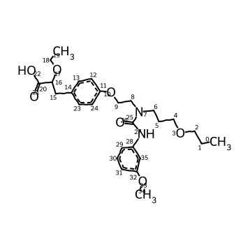 CCCOCCCN(CCOc1ccc(CC(OCC)C(=O)O)cc1)C(=O)Nc1cccc(OC)c1